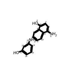 Nc1ccc(O)c2ccccc12.Nc1cccc(O)c1